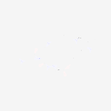 CCn1c(-c2cccnc2[C@H](C)OC)c2c3cc(ccc31)-c1csc(n1)C[C@H](NC(=O)C1CCCN(C)C1)C(=O)N1CCC[C@H](N1)C(=O)OCC(C)(C)C2